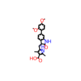 COc1ccc(-c2ccc3c(c2)NC(=O)/C3=C\c2[nH]c(C)c(C(=O)O)c2C)c(OC)c1